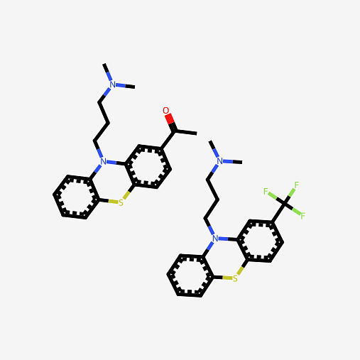 CC(=O)c1ccc2c(c1)N(CCCN(C)C)c1ccccc1S2.CN(C)CCCN1c2ccccc2Sc2ccc(C(F)(F)F)cc21